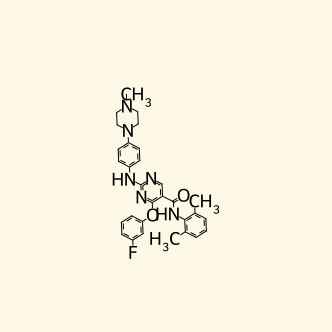 Cc1cccc(C)c1NC(=O)c1cnc(Nc2ccc(N3CCN(C)CC3)cc2)nc1Oc1cccc(F)c1